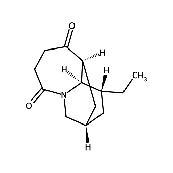 CC[C@@H]1C[C@H]2C[C@@H]3C(=O)CCC(=O)N(C2)[C@H]13